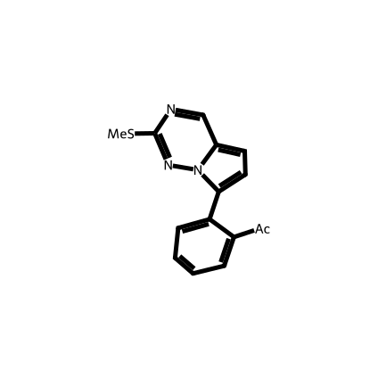 CSc1ncc2ccc(-c3ccccc3C(C)=O)n2n1